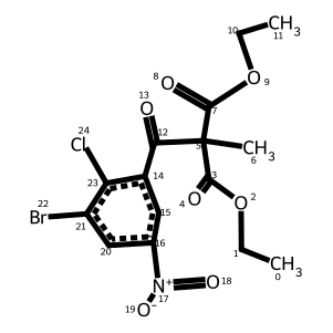 CCOC(=O)C(C)(C(=O)OCC)C(=O)c1cc([N+](=O)[O-])cc(Br)c1Cl